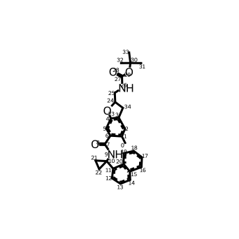 Cc1cc2c(cc1C(=O)NC1(c3cccc4ccccc34)CC1)OC(CNC(=O)OC(C)(C)C)C2